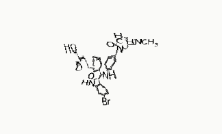 CNCCCN(C(C)=O)c1ccc(NC(=C2C(=O)Nc3cc(Br)ccc32)c2cccc(CCC(=O)O)c2)cc1